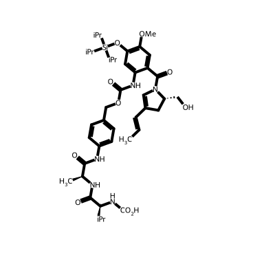 C/C=C/C1=CN(C(=O)c2cc(OC)c(O[Si](C(C)C)(C(C)C)C(C)C)cc2NC(=O)OCc2ccc(NC(=O)[C@H](C)NC(=O)[C@@H](NC(=O)O)C(C)C)cc2)[C@H](CO)C1